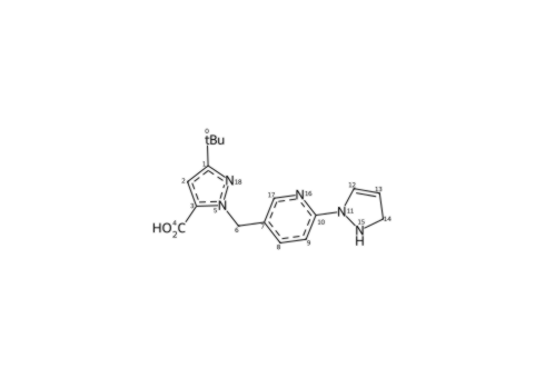 CC(C)(C)c1cc(C(=O)O)n(Cc2ccc(N3C=CCN3)nc2)n1